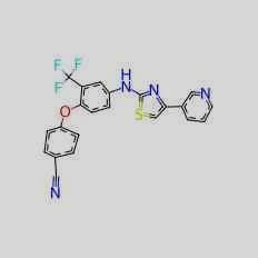 N#Cc1ccc(Oc2ccc(Nc3nc(-c4cccnc4)cs3)cc2C(F)(F)F)cc1